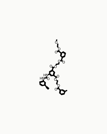 C#Cc1cccc(NC(=O)Nc2cc(C(=O)OCCOC(=O)c3cccc(C)c3)cc(C(=O)OCCOC(=O)c3cccc(C(=O)OCCOC)c3)c2)c1